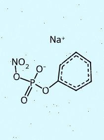 O=[N+]([O-])OP(=O)([O-])Oc1ccccc1.[Na+]